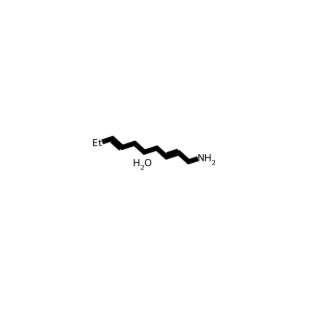 CCC=CCCCC=CCN.O